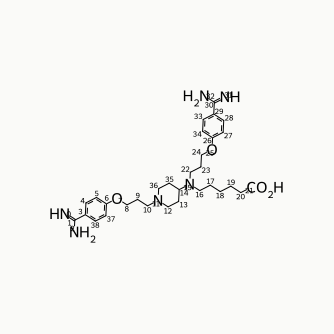 N=C(N)c1ccc(OCCCN2CCC(N(CCCCCC(=O)O)CCCOc3ccc(C(=N)N)cc3)CC2)cc1